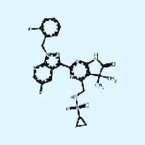 CC1(C)C(=O)Nc2nc(-c3nn(Cc4ccccc4F)c4ncc(F)cc34)nc(CNS(=O)(=O)C3CC3)c21